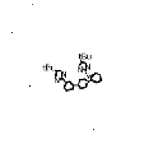 CC(C)(C)c1cnc(-c2cccc(-c3ccc4c5ccccc5n(-c5ncc(C(C)(C)C)cn5)c4c3)c2)nc1